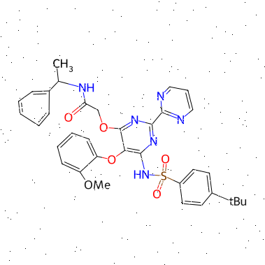 COc1ccccc1Oc1c(NS(=O)(=O)c2ccc(C(C)(C)C)cc2)nc(-c2ncccn2)nc1OCC(=O)NC(C)c1ccccc1